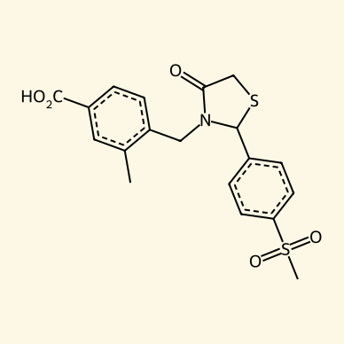 Cc1cc(C(=O)O)ccc1CN1C(=O)CSC1c1ccc(S(C)(=O)=O)cc1